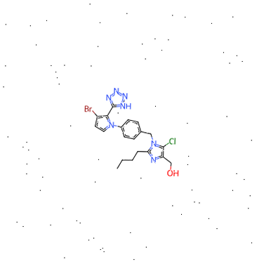 CCCCc1nc(CO)c(Cl)n1Cc1ccc(-n2ccc(Br)c2-c2nnn[nH]2)cc1